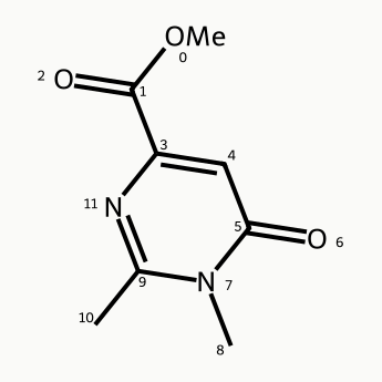 COC(=O)c1cc(=O)n(C)c(C)n1